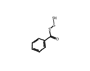 O=C(SSS)c1ccccc1